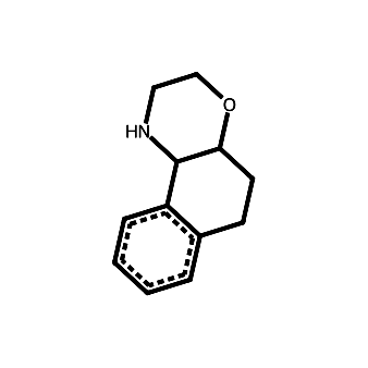 c1ccc2c(c1)CCC1OCCNC21